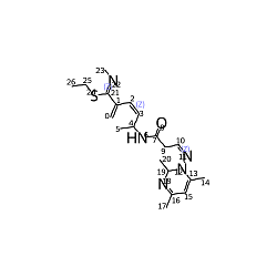 C=C(/C=C\C(C)NC(=O)C/C=N\N1C(C)=CC(C)=NC1C)/C(=N/C)SCC